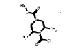 CC1CN(C(=O)OC(C)(C)C)CC(C)N1C(=O)Cl